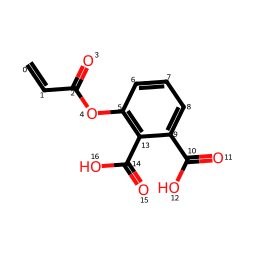 C=CC(=O)Oc1cccc(C(=O)O)c1C(=O)O